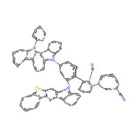 N#Cc1cccc(-c2cccc(-c3ccc(-n4c5ccccc5c5c4ccc4c6ccccc6n(-c6ccccc6)c45)cc3-n3c4ccccc4c4cc5c(cc43)sc3ccccc35)c2C#N)c1